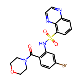 O=C(c1ccc(Br)cc1NS(=O)(=O)c1cccc2nccnc12)N1CCOCC1